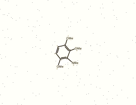 CNc1c(OC)ccc(OC)c1OC